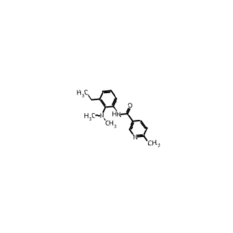 CCc1cccc(NC(=O)c2ccc(C)nc2)c1N(C)C